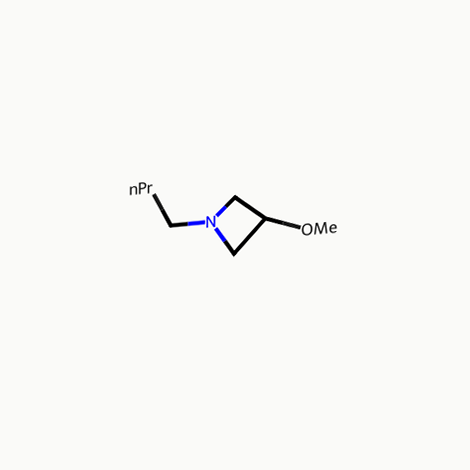 CCCCN1CC(OC)C1